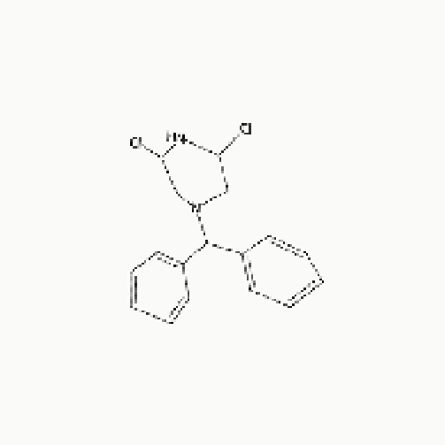 ClC1CN(C(c2ccccc2)c2ccccc2)CC(Cl)N1